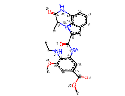 CCNc1c(NC(=O)c2cc3cccc4c3n2C(C)C(=O)N4)cc(C(=O)OC)cc1OC